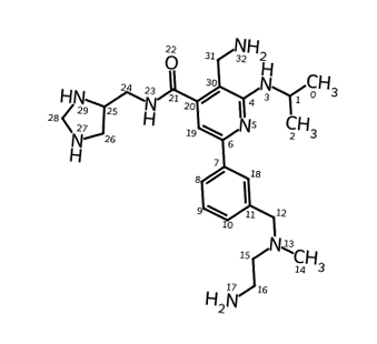 CC(C)Nc1nc(-c2cccc(CN(C)CCN)c2)cc(C(=O)NCC2CNCN2)c1CN